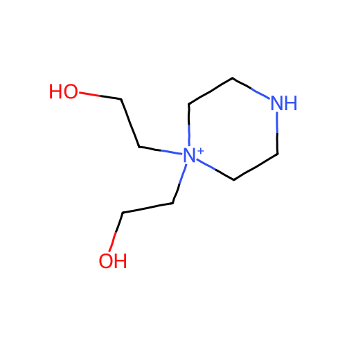 OCC[N+]1(CCO)CCNCC1